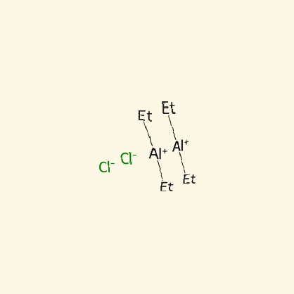 C[CH2][Al+][CH2]C.C[CH2][Al+][CH2]C.[Cl-].[Cl-]